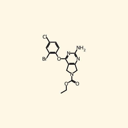 CCOC(=O)N1Cc2nc(N)nc(Oc3ccc(Cl)cc3Br)c2C1